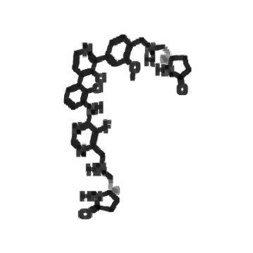 COc1cc(-c2nccc(-c3cccc(Nc4ncnc(CNC[C@@H]5CCC(=O)N5)c4F)c3Cl)c2Cl)ccc1CNC[C@@H]1CCC(=O)N1